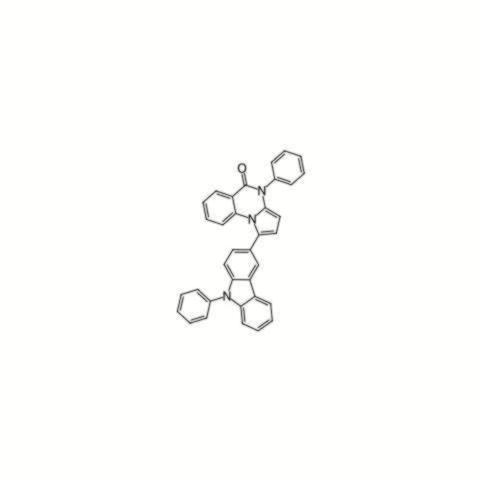 O=c1c2ccccc2n2c(-c3ccc4c(c3)c3ccccc3n4-c3ccccc3)ccc2n1-c1ccccc1